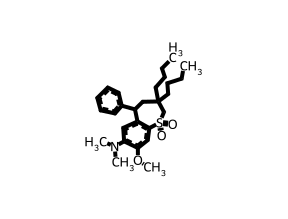 CCCCC1(CCCC)CC(c2ccccc2)c2cc(N(C)C)c(OC)cc2S(=O)(=O)C1